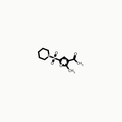 CC(=O)c1cc(S(=O)(=O)N2CCCCC2)oc1C